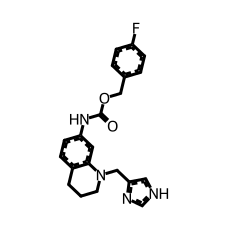 O=C(Nc1ccc2c(c1)N(Cc1c[nH]cn1)CCC2)OCc1ccc(F)cc1